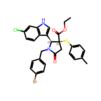 CCOC(=O)[C@]1(Sc2ccc(C)cc2)CC(=O)N(Cc2ccc(Br)cc2)[C@H]1c1c[nH]c2cc(Cl)ccc12